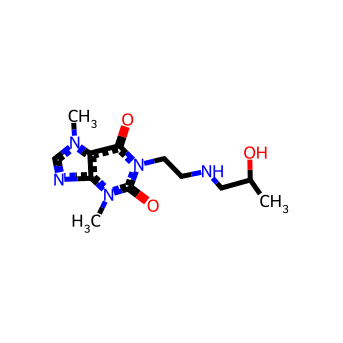 CC(O)CNCCn1c(=O)c2c(ncn2C)n(C)c1=O